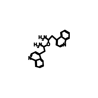 NC(Cc1ccnc2ccccc12)OC(N)Cc1ccnc2ccccc12